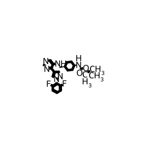 CC(C)(C)OC(=O)N[C@H]1CC[C@@H](CNc2cncnc2-c2cnn(-c3c(F)cccc3F)c2)CC1